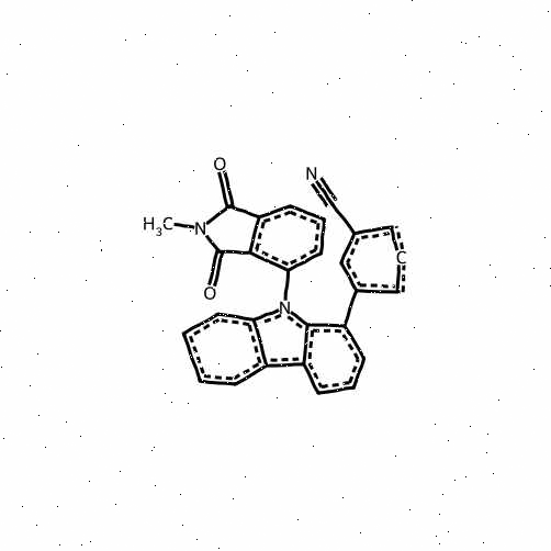 CN1C(=O)c2cccc(-n3c4ccccc4c4cccc(-c5cccc(C#N)c5)c43)c2C1=O